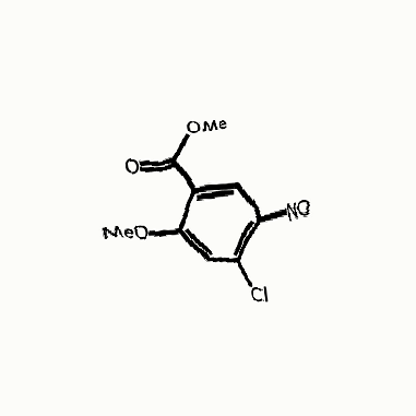 COC(=O)c1cc(N=O)c(Cl)cc1OC